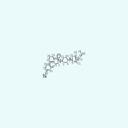 Cc1cn(-c2ccc(N3CC(C)N(CC4CC4)C(C)C3)cc2)c(=O)c2cccc(-c3ccc(C#N)cc3)c12